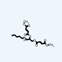 COC(=O)/C=C/C(=O)OCC(CNCCCCI)OC(=O)/C=C/C(=O)OC